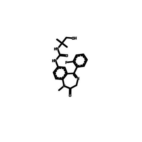 CN1C(=O)CN=C(c2ccccc2F)c2cc(NC(=O)NC(C)(C)CO)ccc21